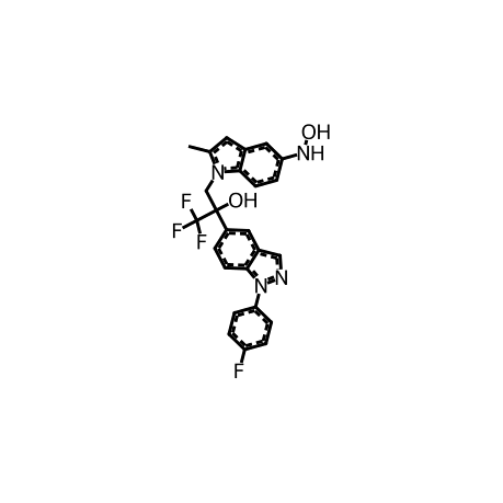 Cc1cc2cc(NO)ccc2n1CC(O)(c1ccc2c(cnn2-c2ccc(F)cc2)c1)C(F)(F)F